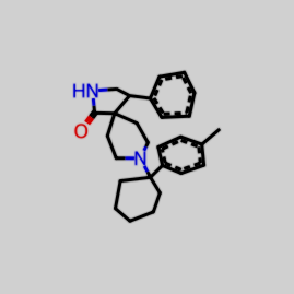 Cc1ccc(C2(N3CCC4(CC3)C(=O)NCC4c3ccccc3)CCCCC2)cc1